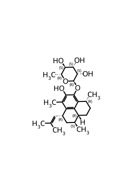 CC(C)=C[C@H]1C[C@H](C)[C@H]2CC[C@@H](C)c3c(O[C@H]4O[C@H](C)[C@@H](O)[C@H](O)[C@@H]4O)c(O)c(C)c1c32